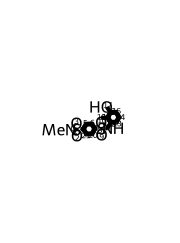 CNS(=O)(=O)c1ccc(S(=O)(=O)Nc2cccc(O)c2C)cc1